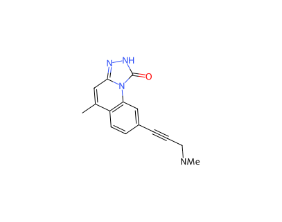 CNCC#Cc1ccc2c(C)cc3n[nH]c(=O)n3c2c1